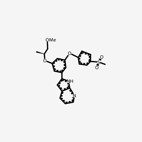 COC[C@H](C)Oc1cc(Oc2ccc(S(C)(=O)=O)cc2)cc(-c2cc3cccnc3[nH]2)c1